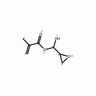 C=C(C)C(=O)OC(O)C1CO1